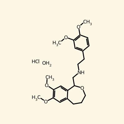 COc1ccc(CCNCC2OCCCc3cc(OC)c(OC)cc32)cc1OC.Cl.O